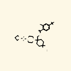 Cl.O=C(NCC1(N2CCN(S(=O)(=O)N3CCC3)CC2)CCC(F)(F)CC1)c1ccc(C(F)(F)F)cc1Cl